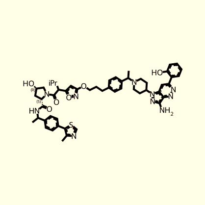 Cc1ncsc1-c1ccc(C(C)NC(=O)[C@@H]2C[C@@H](O)CN2C(=O)C(c2cc(OCCCc3ccc(C(C)N4CCC(n5nc(N)c6nnc(-c7ccccc7O)cc65)CC4)cc3)no2)C(C)C)cc1